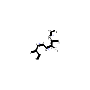 C=CC(=C)/C=C\C=C(\F)C(=C)/N=C\C